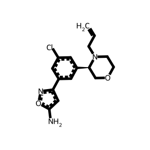 C=CCN1CCOC[C@H]1c1cc(Cl)cc(-c2cc(N)on2)c1